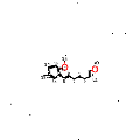 COC[C@H](C)CCC/C=C/c1cc(C)ccc1OC